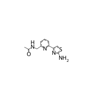 CC(=O)NCc1cccc(-c2csc(N)n2)n1